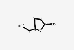 CC[C@@H]1CCC(CC#N)S1